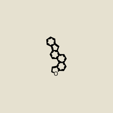 C1=c2ccccc2=c2ccc3c(ccc4ccc5c(c43)=CCO5)c21